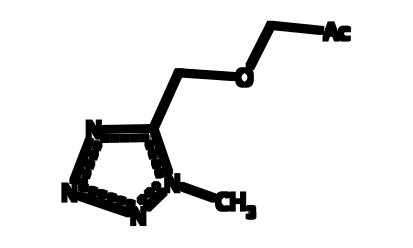 CC(=O)COCc1nnnn1C